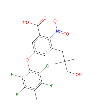 Cc1c(F)c(F)c(Oc2cc(CC(C)(C)CO)c([N+](=O)[O-])c(C(=O)O)c2)c(Cl)c1F